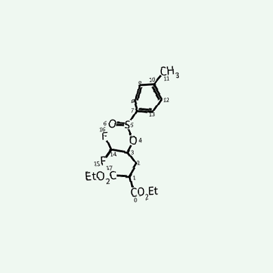 CCOC(=O)C(CC(OS(=O)c1ccc(C)cc1)C(F)F)C(=O)OCC